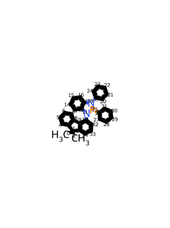 CC1(C)c2ccccc2-c2c(N3c4ccccc4N(c4ccccc4)P3c3ccccc3)cccc21